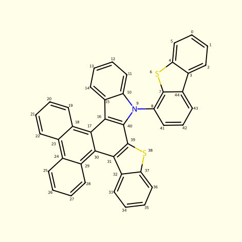 c1ccc2c(c1)sc1c(-n3c4ccccc4c4c5c6ccccc6c6ccccc6c5c5c6ccccc6sc5c43)cccc12